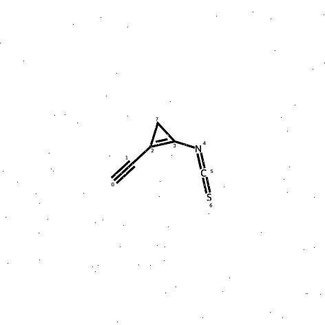 C#CC1=C(N=C=S)C1